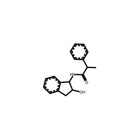 CC(C(=O)NC1c2ccccc2CC1O)c1ccccc1